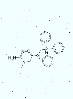 CN(CC(=O)N(C)C[PH](c1ccccc1)(c1ccccc1)c1ccccc1)C(=N)N